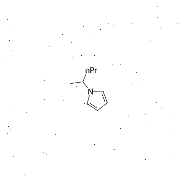 CCCC(C)n1[c]ccc1